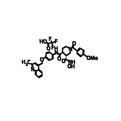 COc1ccc(C(=O)N2CC[C@H](C(=O)Nc3ccc(OCc4cc(C)nc5ccccc45)cc3)[C@@H](C(=O)NO)C2)cc1.O=C(O)C(F)(F)F